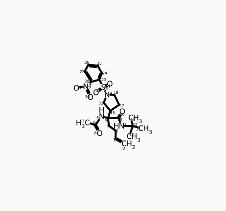 C=CCCC(NC(C)=O)(C(=O)NC(C)(C)C)C1CCN(S(=O)(=O)c2ccccc2[N+](=O)[O-])C1